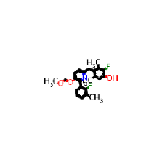 COCOc1ccc(Cc2c(C)cc(O)c(F)c2C)nc1-c1cccc(C)c1F